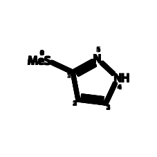 CSc1cc[nH]n1